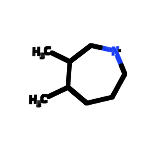 CC1CCC[N]CC1C